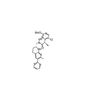 CCCN(C[C@H]1CCc2cc(-c3ncccn3)c(C)nc2N1)C(=O)[C@H](C)c1nc(OC)ncc1Cl